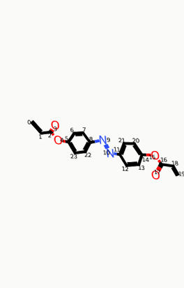 C=CC(=O)Oc1ccc(N=Nc2ccc(OC(=O)C=C)cc2)cc1